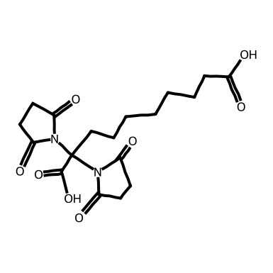 O=C(O)CCCCCCCC(C(=O)O)(N1C(=O)CCC1=O)N1C(=O)CCC1=O